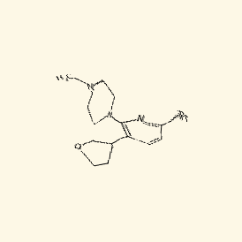 CC(C)c1ccc(C2CCOC2)c(N2CCN(C)CC2)n1